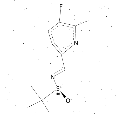 Cc1nc(C=N[S@@+]([O-])C(C)(C)C)ccc1F